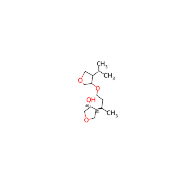 CC(C)C1COCC1OCCC(C)[C@H]1COC[C@@H]1O